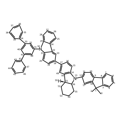 CC1(C)c2ccccc2-c2ccc(N3c4ccc(-c5ccc6c(c5)c5ccccc5n6-c5cc(-c6ccccc6)cc(-c6ccccc6)c5)cc4[C@H]4CCCCC43)cc21